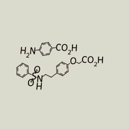 Nc1ccc(C(=O)O)cc1.O=C(O)COc1ccc(CCNS(=O)(=O)c2ccccc2)cc1